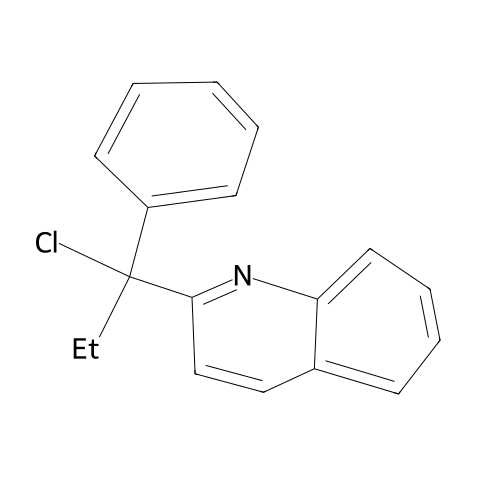 CCC(Cl)(c1ccccc1)c1ccc2ccccc2n1